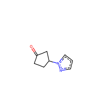 O=C1CCC(n2cccn2)C1